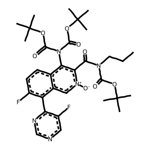 CCCN(C(=O)OC(C)(C)C)C(=O)c1c(N(C(=O)OC(C)(C)C)C(=O)OC(C)(C)C)c2ccc(F)c(-c3ncncc3F)c2c[n+]1[O-]